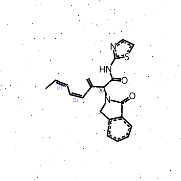 C=C(/C=C\C=C/C)[C@@H](C(=O)Nc1nccs1)N1Cc2ccccc2C1=O